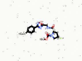 CCCCCCCCCCc1ccc(-c2noc(CNC(=O)[C@@H]3C[C@@H](F)CN3C(=O)OC(C)(C)C)n2)cc1